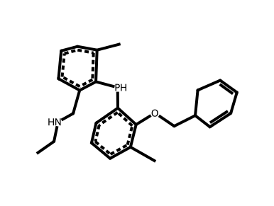 CCNCc1cccc(C)c1Pc1cccc(C)c1OCC1C=CC=CC1